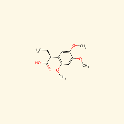 CC[C@H](C(=O)O)c1cc(OC)c(OC)cc1OC